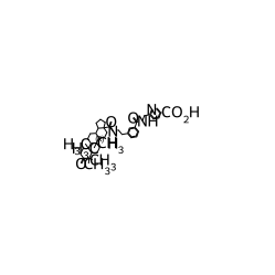 CC1(C)C(=O)CCC2(C)C1CCC1(C)C2CCC2C3CCCC3(C(=O)NCCc3cccc(C(=O)NCc4ccc(C(=O)O)cn4)c3)CC[C@]21C